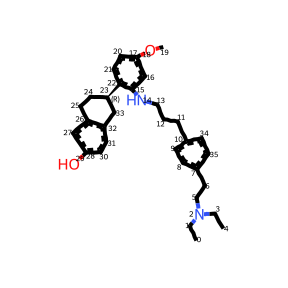 CCN(CC)CCc1ccc(CCCNc2cc(OC)ccc2[C@@H]2CCc3cc(O)ccc3C2)cc1